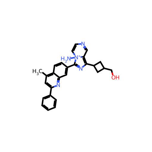 Cc1cc(-c2ccccc2)nc2cc(C3=NC(C4CC(CO)C4)=C4C=NC=C[N+]34N)ccc12